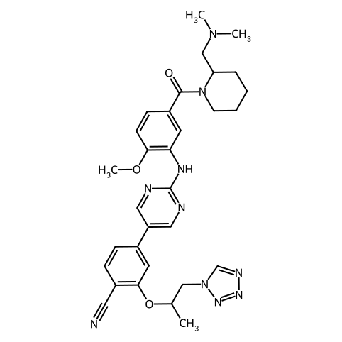 COc1ccc(C(=O)N2CCCCC2CN(C)C)cc1Nc1ncc(-c2ccc(C#N)c(OC(C)Cn3cnnn3)c2)cn1